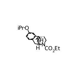 CCOC(=O)N1CC[C@@]23CCCC[C@@H]2[C@@H]1Cc1ccc(OC(C)C)cc13